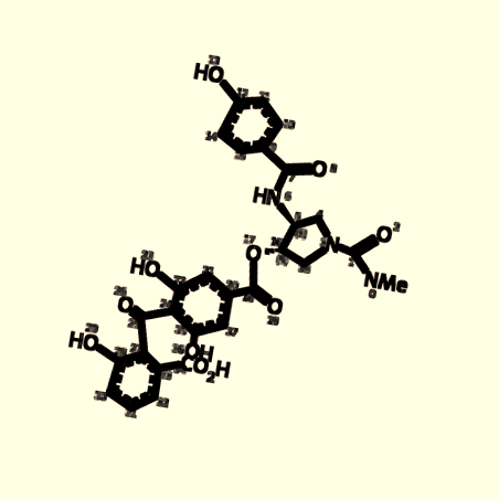 CNC(=O)N1C[C@H](NC(=O)c2ccc(O)cc2)[C@@H](OC(=O)c2cc(O)c(C(=O)c3c(O)cccc3C(=O)O)c(O)c2)C1